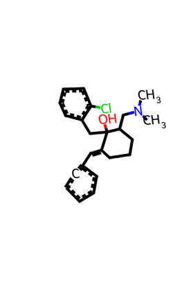 CN(C)CC1CCCC(=Cc2ccccc2)C1(O)Cc1ccccc1Cl